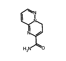 NC(=O)C1=CCN2N=CC=CC2=N1